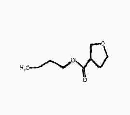 CCCCOC(=O)C1CCOC1